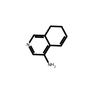 Nc1cncc2c1C=CCC2